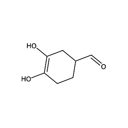 O=CC1CCC(O)=C(O)C1